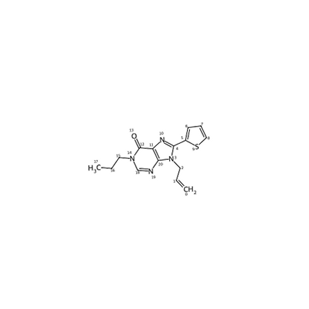 C=CCn1c(-c2cccs2)nc2c(=O)n(CCC)cnc21